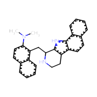 CN(C)c1ccc2ccccc2c1CC1NCCc2c1[nH]c1c2ccc2ccccc21